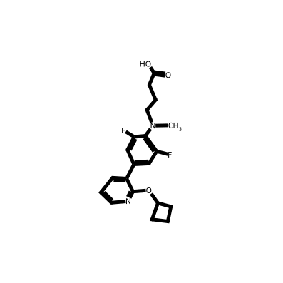 CN(CCCC(=O)O)c1c(F)cc(-c2cccnc2OC2CCC2)cc1F